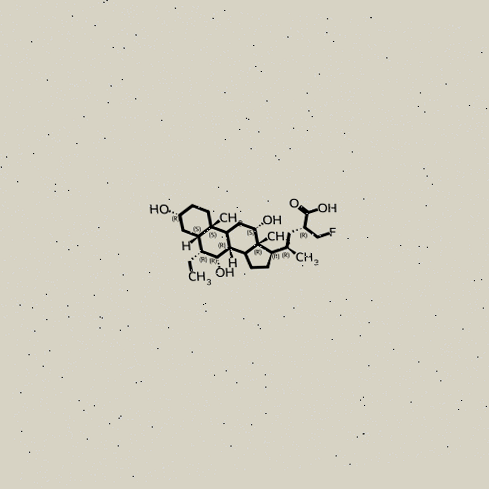 CC[C@H]1[C@@H](O)[C@H]2C3CC[C@H]([C@H](C)C[C@@H](CF)C(=O)O)[C@@]3(C)[C@@H](O)CC2[C@@]2(C)CC[C@@H](O)C[C@@H]12